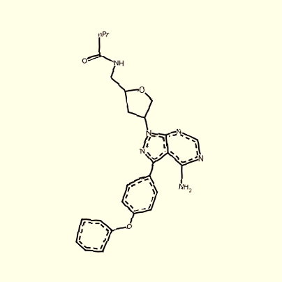 CCCC(=O)NCC1CC(n2nc(-c3ccc(Oc4ccccc4)cc3)c3c(N)ncnc32)CO1